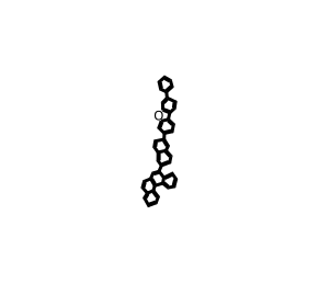 c1ccc(-c2ccc3c(c2)oc2cc(-c4ccc5cc(-c6cc7ccc8ccccc8c7c7ccccc67)ccc5c4)ccc23)cc1